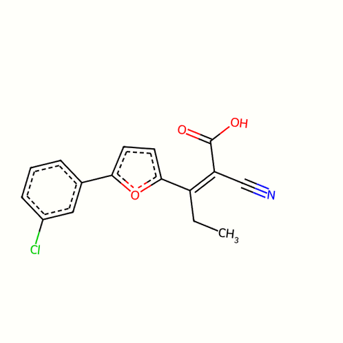 CCC(=C(C#N)C(=O)O)c1ccc(-c2cccc(Cl)c2)o1